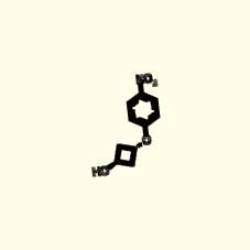 O=[N+]([O-])c1ccc(O[C@H]2C[C@H](O)C2)cc1